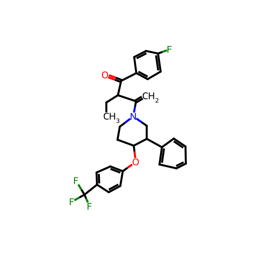 C=C(C(CC)C(=O)c1ccc(F)cc1)N1CCC(Oc2ccc(C(F)(F)F)cc2)C(c2ccccc2)C1